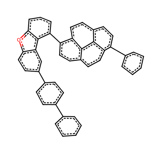 c1ccc(-c2ccc(-c3ccc4oc5cccc(-c6ccc7ccc8c(-c9ccccc9)ccc9ccc6c7c98)c5c4c3)cc2)cc1